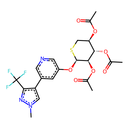 CC(=O)O[C@@H]1[C@@H](OC(C)=O)[C@@H](Oc2cncc(-c3cn(C)nc3C(F)(F)F)c2)SC[C@H]1OC(C)=O